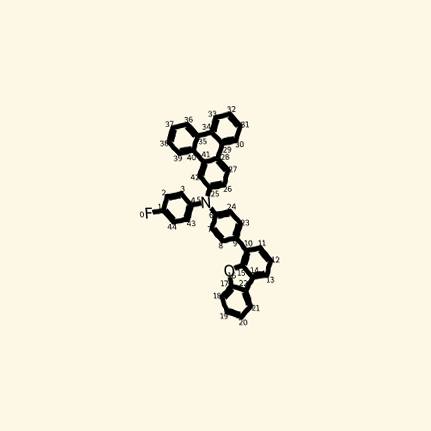 Fc1ccc(N(c2ccc(-c3cccc4c3oc3ccccc34)cc2)c2ccc3c4ccccc4c4ccccc4c3c2)cc1